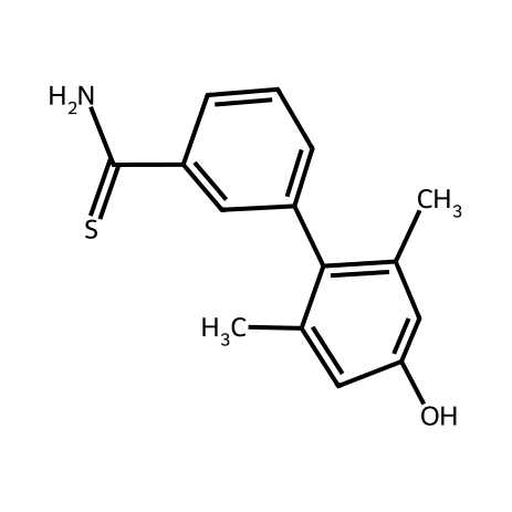 Cc1cc(O)cc(C)c1-c1cccc(C(N)=S)c1